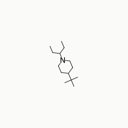 CCC(CC)N1CCC(C(C)(C)C)CC1